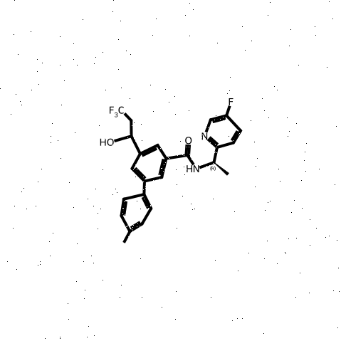 Cc1ccc(-c2cc(C(=O)N[C@H](C)c3ccc(F)cn3)cc(C(O)CC(F)(F)F)c2)cc1